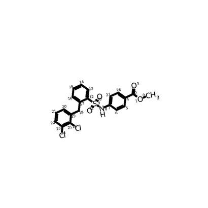 COC(=O)c1ccc(NS(=O)(=O)c2ccccc2Cc2cccc(Cl)c2Cl)cc1